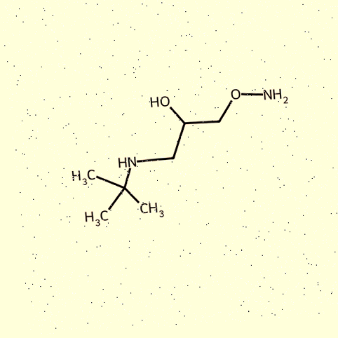 CC(C)(C)NCC(O)CON